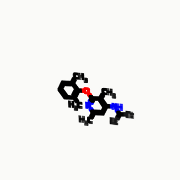 CCC(CC)Nc1cc(C)nc(Oc2c(C)cccc2C)c1C